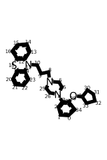 c1ccc(N2CCN(CCCN3c4ccccc4Sc4ccccc43)CC2)c(OC2CCCC2)c1